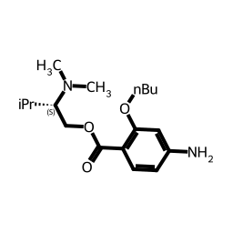 CCCCOc1cc(N)ccc1C(=O)OC[C@H](C(C)C)N(C)C